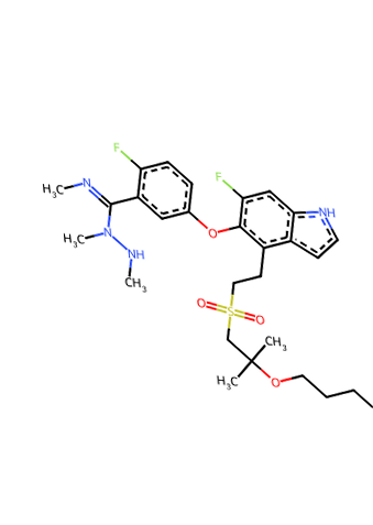 CCCCOC(C)(C)CS(=O)(=O)CCc1c(Oc2ccc(F)c(/C(=N/C)N(C)NC)c2)c(F)cc2[nH]ccc12